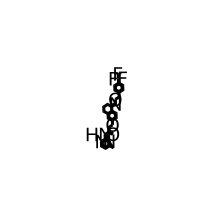 Cc1ccnc(NC(=O)COc2ccc3c(c2)CCCC3=NOCc2ccc(C(F)(F)F)cc2)n1